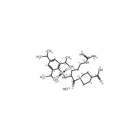 CC(C)c1cc(C(C)C)c(S(=O)(=O)NC(CCCNC(=N)N)C(=O)N2CCC(C(=O)O)CC2)c(C(C)C)c1.Cl